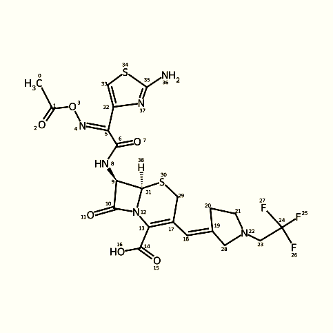 CC(=O)ON=C(C(=O)N[C@@H]1C(=O)N2C(C(=O)O)=C(C=C3CCN(CC(F)(F)F)C3)CS[C@H]12)c1csc(N)n1